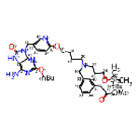 CCCCOc1nc(N)c2[nH]c(=O)n(Cc3ccc(OCCCCN(CCCO[Si](C)(C)C(C)(C)C)Cc4cccc(CC(=O)OC)c4)nc3)c2n1